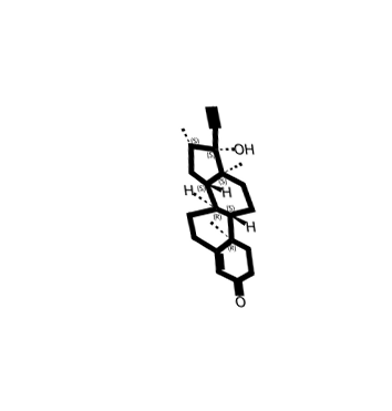 C#C[C@]1(O)[C@@H](C)C[C@H]2[C@@H]3CCC4=CC(=O)CC[C@]4(C)[C@H]3CC[C@@]21C